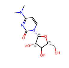 CN(C)c1ccn([C@@H]2O[C@H](CO)C(O)[C@@H]2O)c(=O)n1